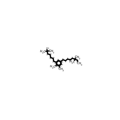 CCC(C)(C)CCCCCc1cc(C)c(C)c(CCCCCC(C)(C)I)c1